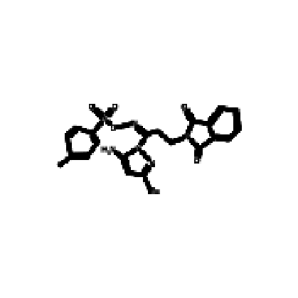 Cc1ccc(S(=O)(=O)ON=C(CCN2C(=O)c3ccccc3C2=O)n2nc(C(C)(C)C)cc2N)cc1